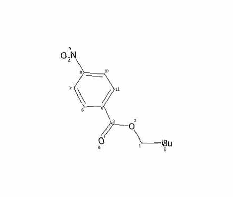 CCC(C)COC(=O)c1ccc([N+](=O)[O-])cc1